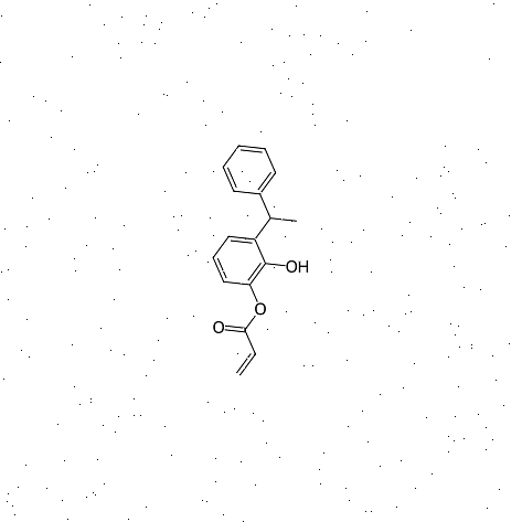 C=CC(=O)Oc1cccc(C(C)c2ccccc2)c1O